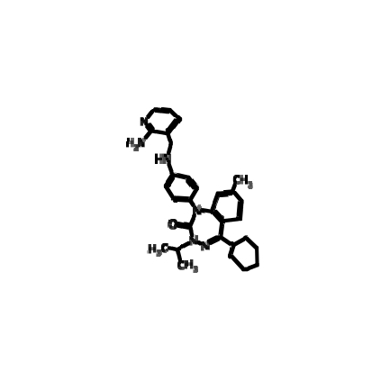 Cc1ccc2c(c1)N(c1ccc(NCc3cccnc3N)cc1)C(=O)N(C(C)C)N=C2C1CCCCC1